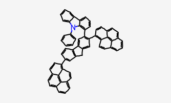 c1ccc(-n2c3ccccc3c3cccc(-c4cc5c(cc4-c4ccc6ccc7cccc8ccc4c6c78)Cc4cc(-c6ccc7ccc8cccc9ccc6c7c89)ccc4-5)c32)cc1